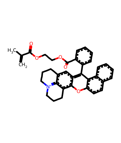 C=C(C)C(=O)OCCOC(=O)c1ccccc1C1=c2cc3c4c(c2Oc2ccc5ccccc5c21)CCC[N+]=4CCC3